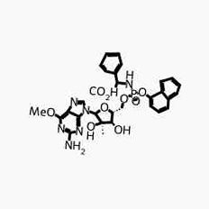 COc1nc(N)nc2c1ncn2C1O[C@H](COP(=O)(NC(C(=O)O)c2ccccc2)Oc2cccc3ccccc23)[C@@H](O)[C@@]1(C)O